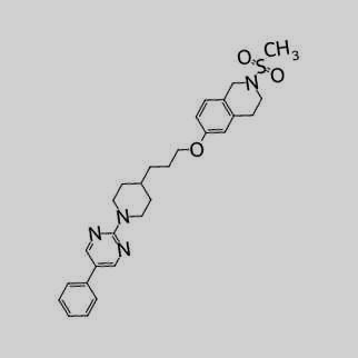 CS(=O)(=O)N1CCc2cc(OCCCC3CCN(c4ncc(-c5ccccc5)cn4)CC3)ccc2C1